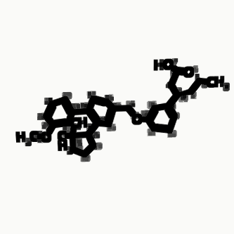 CCC[C@H](CC(=O)O)c1cccc(OCc2ccc(-c3cccc(OC)c3)c(C3CCCC3(C)C)c2)c1